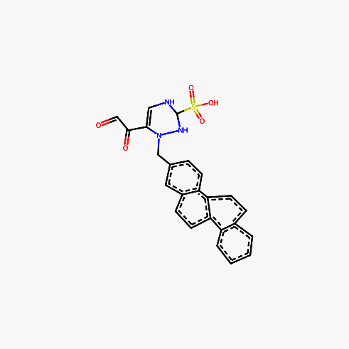 O=CC(=O)C1=CNC(S(=O)(=O)O)NN1Cc1ccc2c(ccc3c4ccccc4ccc23)c1